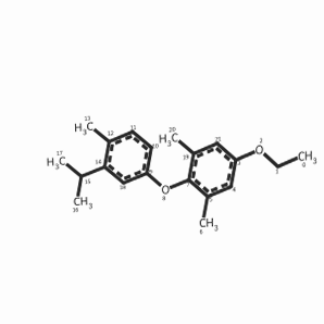 CCOc1cc(C)c(Oc2ccc(C)c(C(C)C)c2)c(C)c1